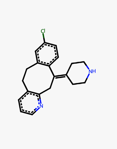 Clc1ccc2c(c1)CCc1cccnc1CC2=C1CCNCC1